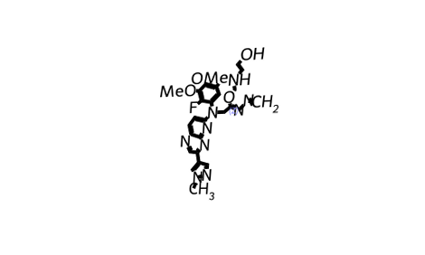 C=N/N=C(/CN(c1ccc2ncc(-c3cnn(C)c3)nc2n1)c1cc(OC)cc(OC)c1F)OCNCCO